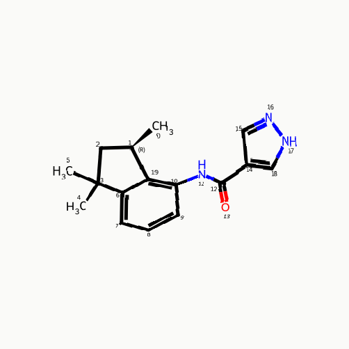 C[C@@H]1CC(C)(C)c2cccc(NC(=O)c3cn[nH]c3)c21